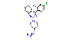 NCC1CCN(c2nc(-c3ccc(F)cc3F)c3ccccc3n2)CC1